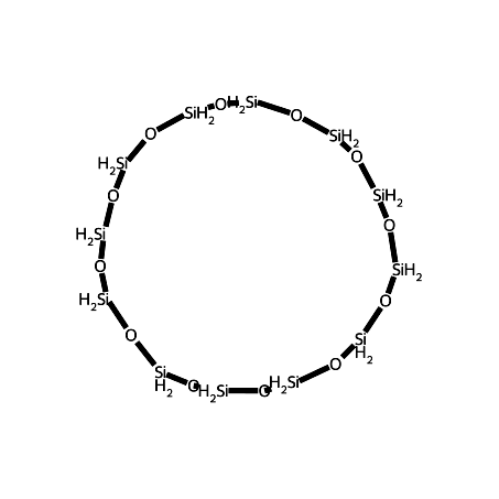 O1[SiH2]O[SiH2]O[SiH2]O[SiH2]O[SiH2]O[SiH2]O[SiH2]O[SiH2]O[SiH2]O[SiH2]O[SiH2]O[SiH2]1